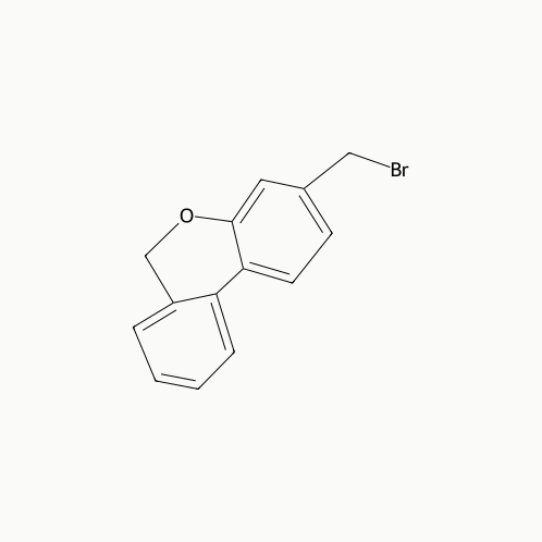 BrCc1ccc2c(c1)OCc1ccccc1-2